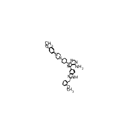 COc1ccc(N2CCN([C@H]3CC[C@H](n4nc(-c5ccc6[nH]c(Cc7ccccc7OC)nc6c5)c5c(N)ncnc54)CC3)CC2)cc1